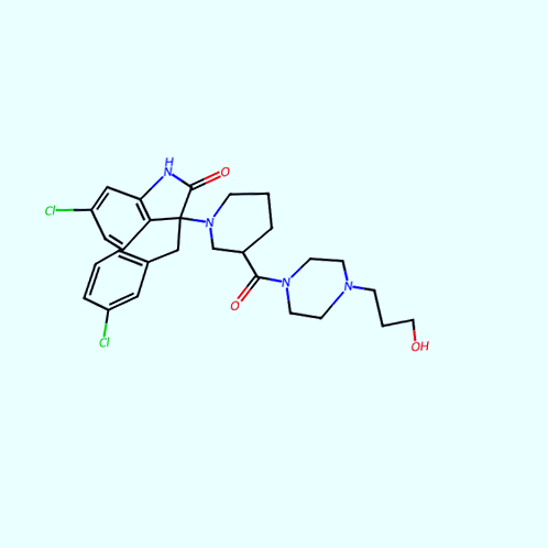 O=C(C1CCCN(C2(Cc3cccc(Cl)c3)C(=O)Nc3cc(Cl)ccc32)C1)N1CCN(CCCO)CC1